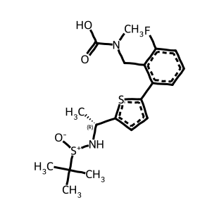 C[C@@H](N[S+]([O-])C(C)(C)C)c1ccc(-c2cccc(F)c2CN(C)C(=O)O)s1